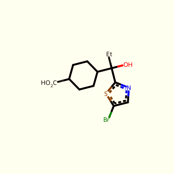 CCC(O)(c1ncc(Br)s1)C1CCC(C(=O)O)CC1